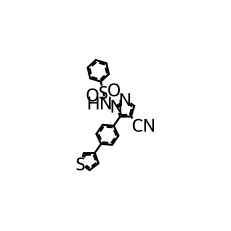 N#Cc1cnn(NS(=O)(=O)c2ccccc2)c1-c1ccc(-c2ccsc2)cc1